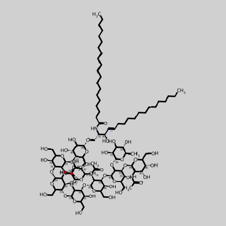 CCCCCCCCCCCCC/C=C/[C@@H](O)[C@H](CO[C@@H]1OC(CO)[C@@H](O[C@@H]2OC(CO)[C@H](O)[C@H](O[C@@H]3OC(CO)[C@@H](O[C@@H]4OC(CO)[C@H](O)[C@H](O[C@H]5OC(CO)[C@H](O)[C@H](O[C@@H]6OC(CO)[C@H](O)[C@H](O[C@H]7OC(CO)[C@H](O)[C@H](O)C7NC(C)=O)C6O[C@H]6OC(C)[C@@H](O)C(O)[C@@H]6O)C5NC(C)=O)C4O[C@H]4OC(C)[C@@H](O)C(O)[C@@H]4O)[C@H](O)C3NC(C)=O)C2O)[C@H](O)C1O)NC(=O)CCCCCCCCCCCCCCCCCCC